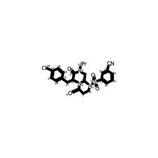 CC(C)N1CC2N(C(=O)CCN2S(=O)(=O)c2cccc(C#N)c2)C(Cc2ccc(Cl)cc2)C1=O